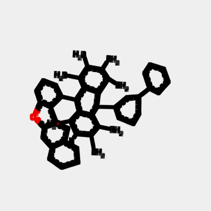 Bc1c(B)c(B)c2c(-c3cccc4oc5cc6ccccc6cc5c34)c3c(B)c(B)c(B)c(B)c3c(-c3cccc(-c4ccccc4)c3)c2c1B